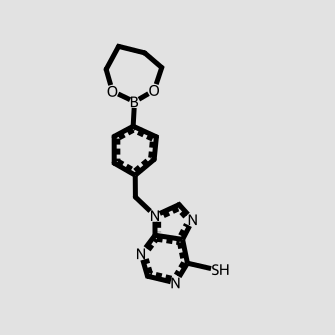 Sc1ncnc2c1ncn2Cc1ccc(B2OCCCCO2)cc1